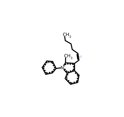 CCCC/C=C\c1c(C)n(-c2ccccc2)c2ccccc12